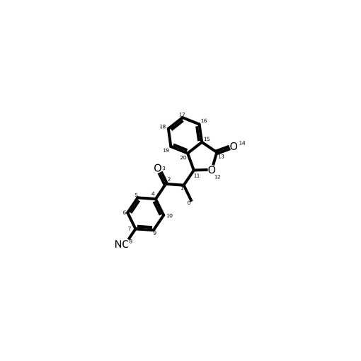 CC(C(=O)c1ccc(C#N)cc1)C1OC(=O)c2ccccc21